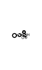 O=c1[nH]c2ccccc2n(C2CCN(C3CCCCCCC3)CC2)c1=O